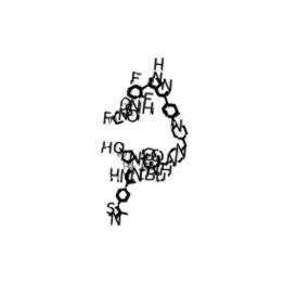 Cc1ncsc1-c1ccc(-c2cnc([C@@H]3C[C@@H](O)CN3C(=O)[C@@H](NC(=O)CN3CCN(CC4CCN(c5ccc(-c6cnc7[nH]cc(-c8c(F)ccc(NS(=O)(=O)N9CC[C@@H](F)C9)c8F)c7c6)cc5)CC4)CC3)C(C)(C)C)[nH]2)cc1